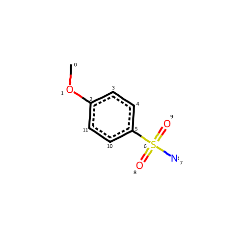 COc1ccc(S([N])(=O)=O)cc1